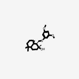 COc1cc(OC)cc(SC[C@@H]2[C@@]3(C)CCCC(C)(C)C3CC[C@@]2(C)O)c1